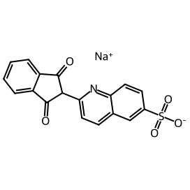 O=C1c2ccccc2C(=O)C1c1ccc2cc(S(=O)(=O)[O-])ccc2n1.[Na+]